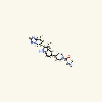 Cc1cc(-c2[nH]c3ccc(C4CCN(C(=O)CN(C)C)CC4)cc3c2C(C)C)cn2ncnc12